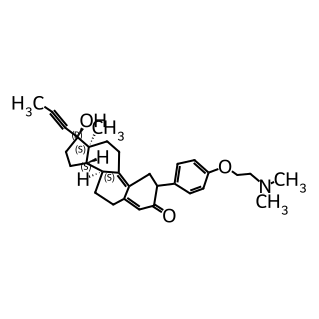 CC#C[C@@]1(O)CC[C@H]2[C@@H]3CCC4=CC(=O)C(c5ccc(OCCN(C)C)cc5)CC4=C3CC[C@@]21C